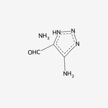 N.Nc1nn[nH]c1C=O